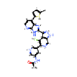 Cc1ccc(-c2ccnc3[nH]c(-c4n[nH]c5cnc(-c6cncc(NC(=O)C(C)C)c6)c(F)c45)nc23)s1